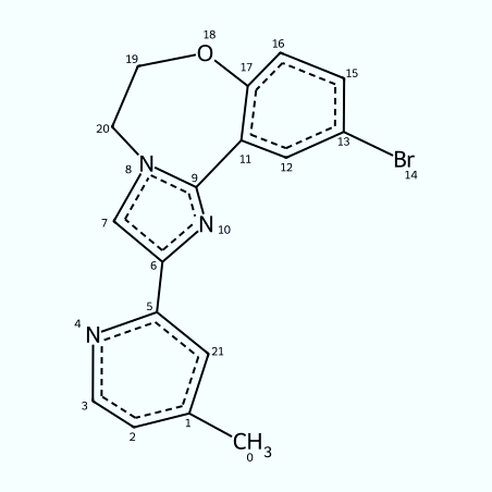 Cc1ccnc(-c2cn3c(n2)-c2cc(Br)ccc2OCC3)c1